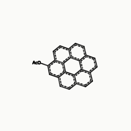 CC(=O)Oc1cc2ccc3ccc4ccc5ccc6ccc1c1c6c5c4c3c21